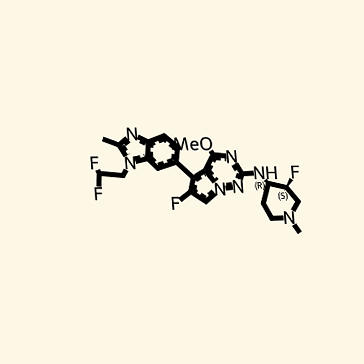 COc1nc(N[C@@H]2CCN(C)C[C@@H]2F)nn2cc(F)c(-c3ccc4nc(C)n(CC(F)F)c4c3)c12